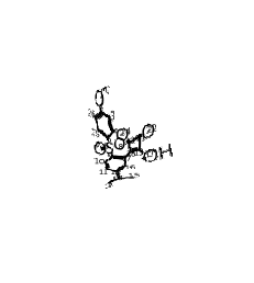 COc1ccc(S(=O)(=O)c2ccc(C(C)C)cc2-c2c(O)c(=O)c2=O)cc1